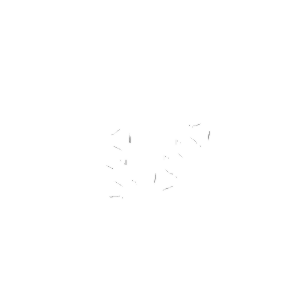 O=C(Nc1cc(CNc2ncsc2C(=O)Nc2ccc3c(c2)OC(F)(F)O3)ccn1)Nc1ncccn1